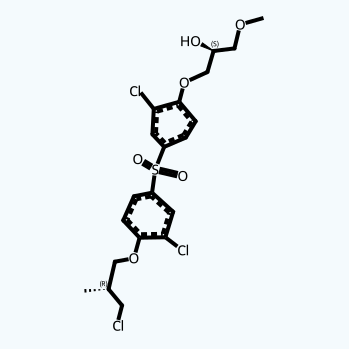 COC[C@H](O)COc1ccc(S(=O)(=O)c2ccc(OC[C@@H](C)CCl)c(Cl)c2)cc1Cl